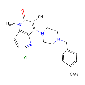 COc1ccc(CN2CCN(c3c(C#N)c(=O)n(C)c4ccc(Cl)nc34)CC2)cc1